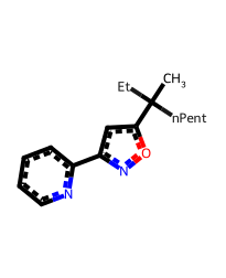 CCCCCC(C)(CC)c1cc(-c2ccccn2)no1